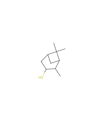 CC1C(S)CC2CC1C2(C)C